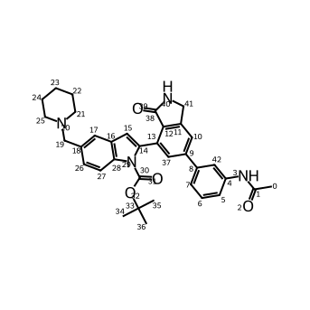 CC(=O)Nc1cccc(-c2cc3c(c(-c4cc5cc(CN6CCCCC6)ccc5n4C(=O)OC(C)(C)C)c2)C(=O)NC3)c1